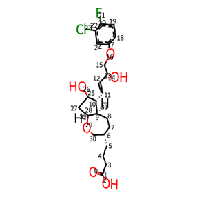 O=C(O)CCC[C@H]1CC[C@@H]2[C@@H](/C=C/[C@@H](O)COc3ccc(F)c(Cl)c3)[C@H](O)C[C@@H]2OC1